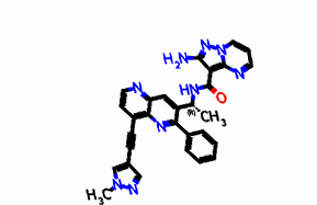 C[C@@H](NC(=O)c1c(N)nn2cccnc12)c1cc2nccc(C#Cc3cnn(C)c3)c2nc1-c1ccccc1